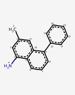 Cc1cc(N)c2cccc(-c3ccccc3)c2c1